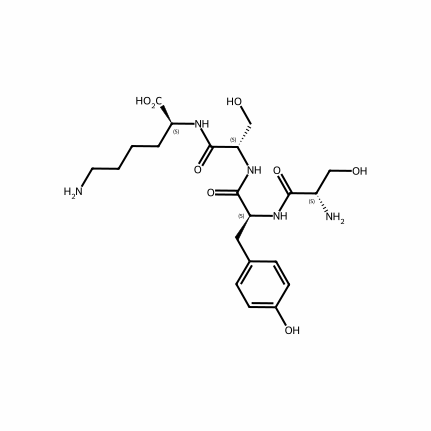 NCCCC[C@H](NC(=O)[C@H](CO)NC(=O)[C@H](Cc1ccc(O)cc1)NC(=O)[C@@H](N)CO)C(=O)O